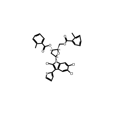 Cc1ccccc1C(=O)OC[C@H]1O[C@@H](n2c(Cl)c(-c3cccs3)c3cc(Cl)c(Cl)cc32)C[C@@H]1OC(=O)c1ccccc1C